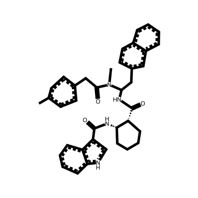 Cc1ccc(CC(=O)N(C)C(Cc2ccc3ccccc3c2)NC(=O)[C@@H]2CCCC[C@@H]2NC(=O)c2c[nH]c3ccccc23)cc1